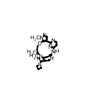 Cn1ncc2c1OCCC(C)(C)n1nc(N3CCC3)c3cnc(cc31)Nc1ccnc-2n1